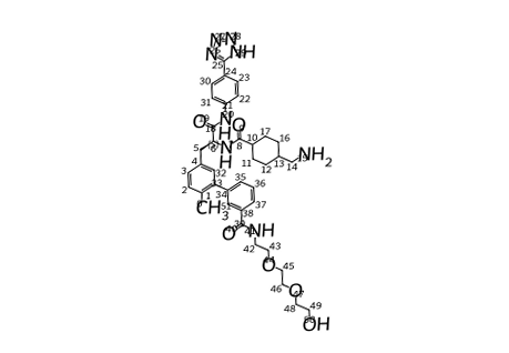 Cc1ccc(C[C@H](NC(=O)C2CCC(CN)CC2)C(=O)Nc2ccc(-c3nnn[nH]3)cc2)cc1-c1cccc(C(=O)NCCOCCOCCO)c1